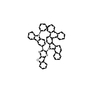 c1ccc(-n2c3ccccc3c3cc(-c4nc5oc6ccccc6c5nc4-n4c5ccc6c7ccccc7c7ccccc7c6c5c5ccc6ccccc6c54)ccc32)cc1